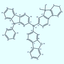 CC1(C)C2=C(C=CCC2)c2ccc(N(c3ccc4c(c3)oc3ccccc34)c3ccc4c5ccccc5n(-c5ccccc5)c4c3)cc21